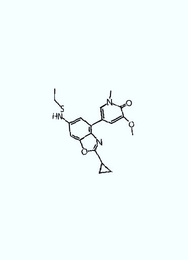 CCSNc1cc(-c2cc(OC)c(=O)n(C)c2)c2nc(C3CC3)oc2c1